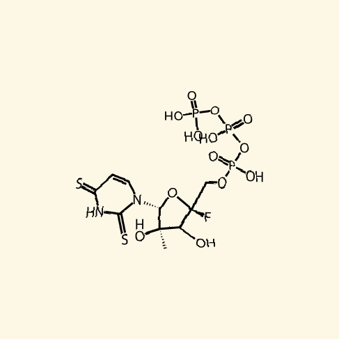 C[C@@]1(O)C(O)[C@@](F)(COP(=O)(O)OP(=O)(O)OP(=O)(O)O)O[C@H]1n1ccc(=S)[nH]c1=S